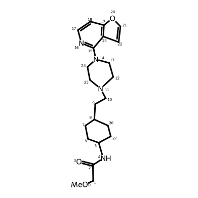 COCC(=O)NC1CCC(CCN2CCN(c3nccc4occc34)CC2)CC1